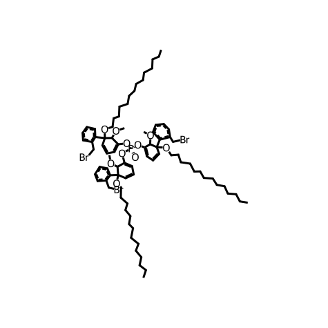 CCCCCCCCCCCCCCOC1(c2ccccc2CBr)C=CC=C(OP(=O)(OC2=CC=CC(OCCCCCCCCCCCCCC)(c3ccccc3CBr)C2OC)OC2=CC=CC(OCCCCCCCCCCCCCC)(c3ccccc3CBr)C2OC)C1OC